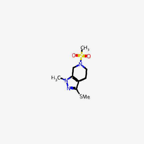 CSc1nn(C)c2c1CCN(S(C)(=O)=O)C2